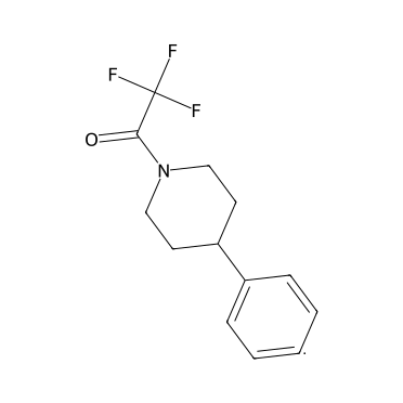 O=C(N1CCC(c2cc[c]cc2)CC1)C(F)(F)F